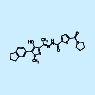 C/C(=N\NC(=O)c1ccc(C(=O)N2CCCC2)s1)c1nn(C)c(-c2ccc3c(c2)CCC3)c1O